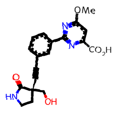 COc1cc(C(=O)O)nc(-c2cccc(C#C[C@@]3(CO)CCNC3=O)c2)n1